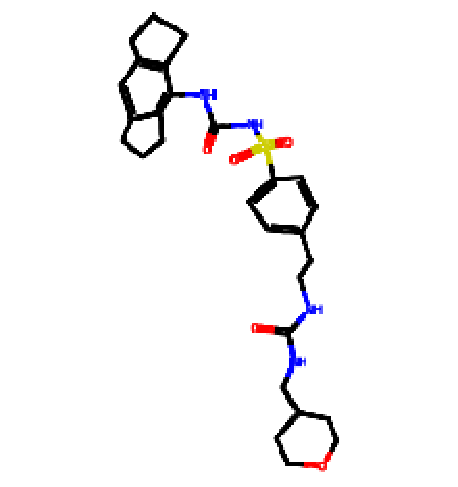 O=C(NCCc1ccc(S(=O)(=O)NC(=O)Nc2c3c(cc4c2CCC4)CCC3)cc1)NCC1CCOCC1